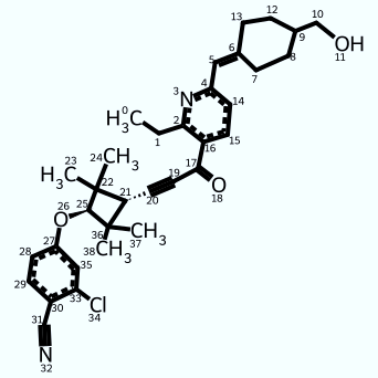 CCc1nc(C=C2CCC(CO)CC2)ccc1C(=O)C#C[C@H]1C(C)(C)[C@H](Oc2ccc(C#N)c(Cl)c2)C1(C)C